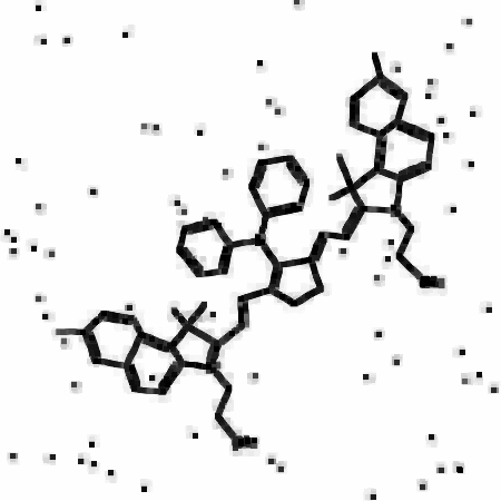 CC(=O)OCCN1/C(=C/C=C2\CCC(/C=C/C3=[N+](CCOC(C)=O)c4ccc5cc(C)ccc5c4C3(C)C)=C2N(c2ccccc2)c2ccccc2)C(C)(C)c2c1ccc1cc(C)ccc21